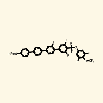 CCCCCc1ccc(-c2ccc(-c3ccc(-c4cc(F)c(C(F)(F)Oc5cc(F)c(OC(F)(F)F)c(F)c5)c(F)c4)c(F)c3)cc2)cc1